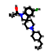 CCC1CCC(N2CCC3(CC2)CN(C(C)=O)c2ccc(F)cc23)CC1